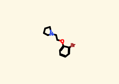 Brc1ccccc1OCCN1CCCC1